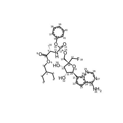 CCC(CC)COC(=O)[C@H](C)NP(=O)(OC[C@@]1(CF)O[C@@H](c2ccc3c(N)ncnn23)[C@H](O)[C@@H]1O)Oc1ccccc1